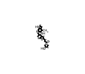 Cc1c(Nc2c(C#N)cnc3sc(C=CC(=O)N4CCC(O)C4)cc23)ccc2[nH]ccc12